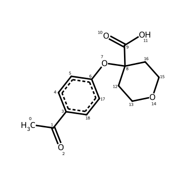 CC(=O)c1ccc(OC2(C(=O)O)CCOCC2)cc1